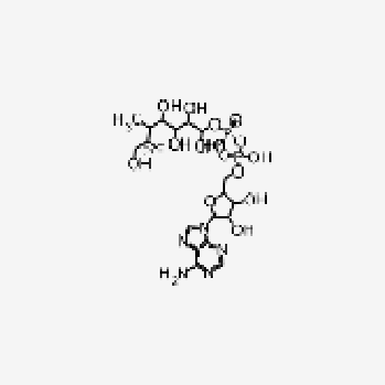 CC(C(O)C(O)C(O)C(O)OP(=O)(O)OP(=O)(O)OCC1OC(n2cnc3c(N)ncnc32)C(O)C1O)[C@@H](F)CO